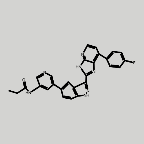 CCC(=O)Nc1cncc(-c2ccc3[nH]nc(-c4nc5c(-c6ccc(F)cc6)ccnc5[nH]4)c3c2)c1